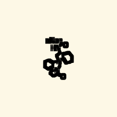 CCCCCCCCCC(=O)NCC[N+](CN1CCCC1=O)(c1ccccc1)c1ccccc1